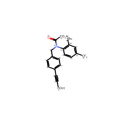 CCCCCCCCC#Cc1ccc(CN(C(=O)C(=O)O)c2ccc(C(F)(F)F)cc2C(C)(C)C)cc1